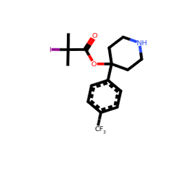 CC(C)(I)C(=O)OC1(c2ccc(C(F)(F)F)cc2)CCNCC1